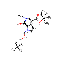 Cn1cc(B2OC(C)(C)C(C)(C)O2)c2ccn(COCC[Si](C)(C)C)c2c1=O